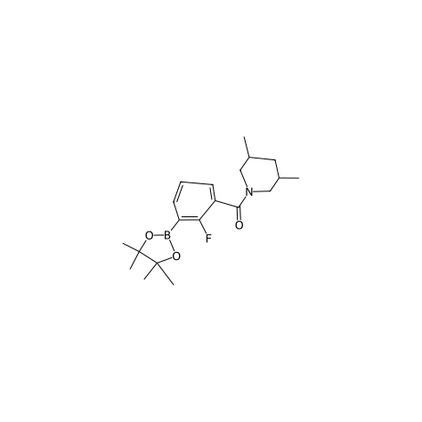 CC1CC(C)CN(C(=O)c2cccc(B3OC(C)(C)C(C)(C)O3)c2F)C1